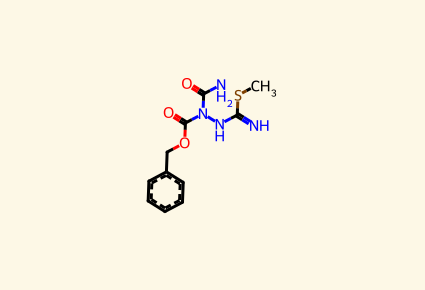 CSC(=N)NN(C(N)=O)C(=O)OCc1ccccc1